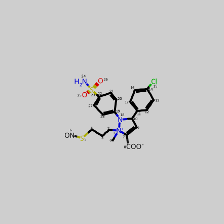 C[N+]1(CCCSN=O)C(C(=O)[O-])=CC(c2ccc(Cl)cc2)N1c1ccc(S(N)(=O)=O)cc1